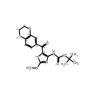 CSc1nc(NC(=O)OC(C)(C)C)c(C(=O)c2ccc3c(c2)OCCO3)s1